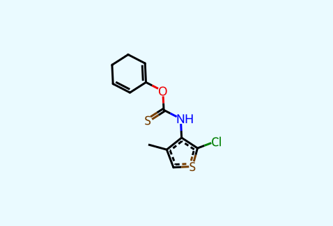 Cc1csc(Cl)c1NC(=S)OC1=CCCC=C1